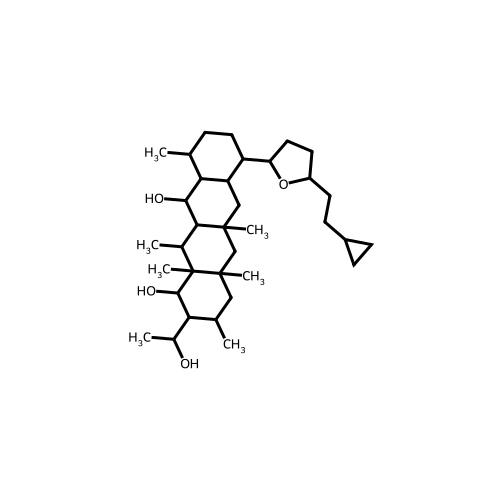 CC(O)C1C(C)CC2(C)CC3(C)CC4C(C5CCC(CCC6CC6)O5)CCC(C)C4C(O)C3C(C)C2(C)C1O